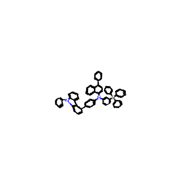 c1ccc(-c2ccc(N(c3ccc(-c4cccc5c4c4ccccc4n5-c4ccccc4)cc3)c3cccc([Si](c4ccccc4)(c4ccccc4)c4ccccc4)c3)c3ccccc23)cc1